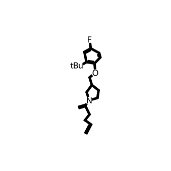 C=CCCC(=C)N1CCC(COc2ccc(F)cc2C(C)(C)C)C1